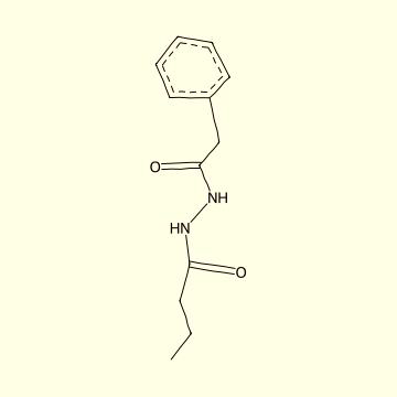 CCCC(=O)NNC(=O)Cc1ccccc1